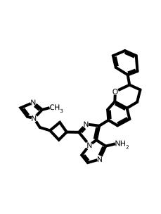 Cc1nccn1CC1CC(c2nc(-c3ccc4c(c3)OC(c3ccccc3)CC4)c3c(N)nccn23)C1